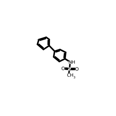 CS(=O)(=O)Nc1ccc(-c2cc[c]cc2)cc1